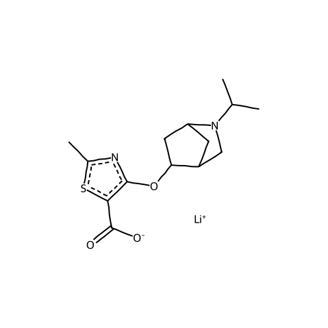 Cc1nc(OC2CC3CC2CN3C(C)C)c(C(=O)[O-])s1.[Li+]